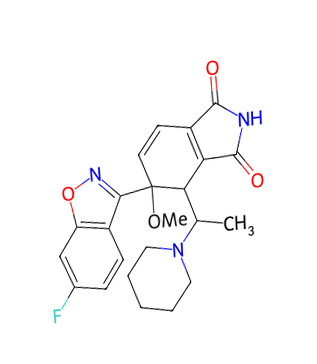 COC1(c2noc3cc(F)ccc23)C=CC2=C(C(=O)NC2=O)C1C(C)N1CCCCC1